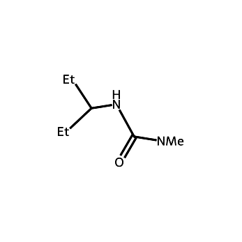 CCC(CC)NC(=O)NC